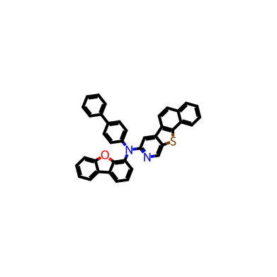 c1ccc(-c2ccc(N(c3cc4c(cn3)sc3c5ccccc5ccc43)c3cccc4c3oc3ccccc34)cc2)cc1